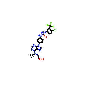 CN(CCO)c1ncnc2c1ncn2-c1ccc(NC(=O)Nc2ccc(Cl)c(C(F)(F)F)c2)cc1